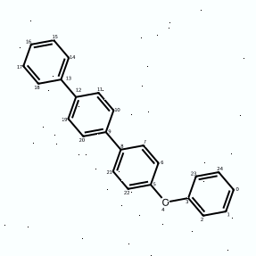 c1ccc(Oc2ccc(-c3ccc(-c4ccccc4)cc3)cc2)cc1